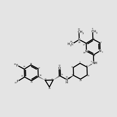 Cc1cnc(N[C@H]2CC[C@H](NC(=O)[C@@H]3C[C@@H]3c3ccc(F)c(F)c3)CC2)nc1N(C)C